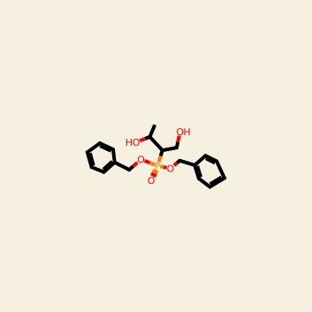 CC(O)C(CO)P(=O)(OCc1ccccc1)OCc1ccccc1